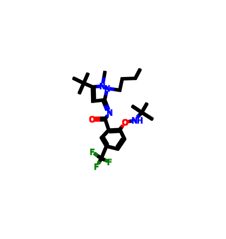 CCCCn1/c(=N/C(=O)c2cc(C(F)(F)F)ccc2ONC(C)(C)C)cc(C(C)(C)C)n1C